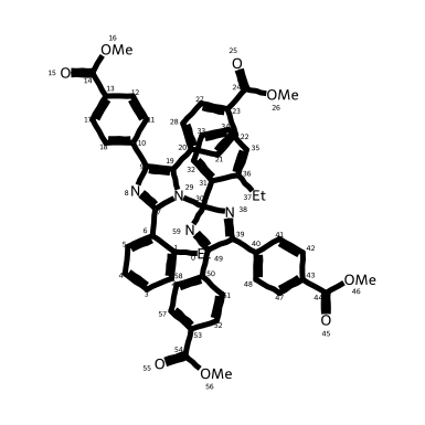 CCc1ccccc1-c1nc(-c2ccc(C(=O)OC)cc2)c(-c2ccc(C(=O)OC)cc2)n1C1(c2ccccc2CC)N=C(c2ccc(C(=O)OC)cc2)C(c2ccc(C(=O)OC)cc2)=N1